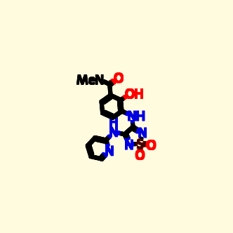 CNC(=O)c1cccc(NC2=NS(=O)(=O)N=C2Nc2ccccn2)c1O